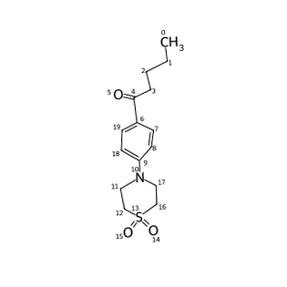 CCCCC(=O)c1ccc(N2CCS(=O)(=O)CC2)cc1